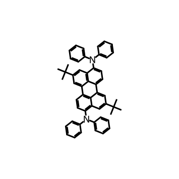 CC(C)(C)c1cc2c(N(c3ccccc3)c3ccccc3)ccc3c4cc(C(C)(C)C)cc5c(N(c6ccccc6)c6ccccc6)ccc(c(c1)c23)c54